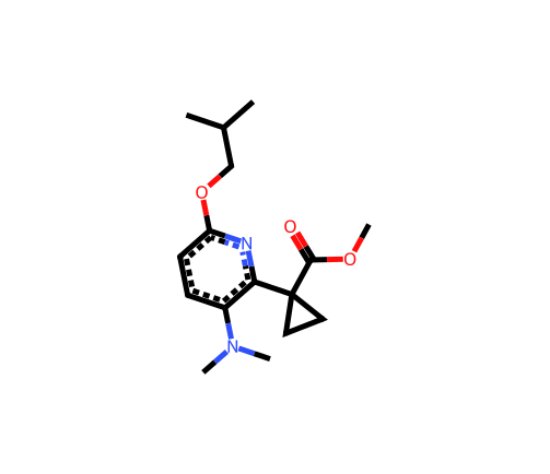 COC(=O)C1(c2nc(OCC(C)C)ccc2N(C)C)CC1